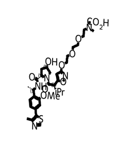 COc1cc(-c2scnc2C)ccc1[C@H](C)NC(=O)[C@@H]1C[C@@H](O)CN1C(=O)[C@@H](c1cc(OCCOCCOCCN(C)C(=O)O)no1)C(C)C